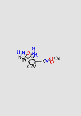 Cc1n[nH]c2c1C(c1cc(C#N)cc(C#CC3CN(C(=O)OC(C)(C)C)C3)c1)(C(C)C)C(C#N)=C(N)O2